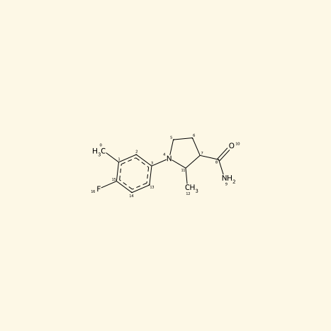 Cc1cc(N2CCC(C(N)=O)C2C)ccc1F